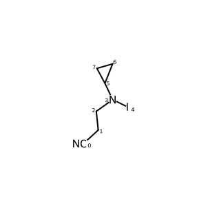 N#CCCN(I)C1CC1